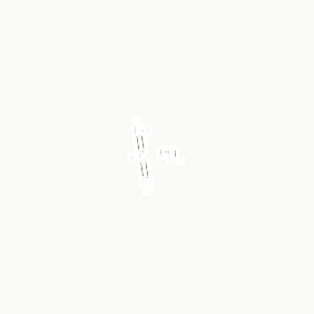 O=[C]=[Fe].P